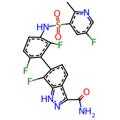 Cc1ncc(F)cc1S(=O)(=O)Nc1ccc(F)c(-c2ccc3c(C(N)=O)n[nH]c3c2F)c1F